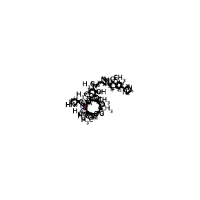 CC[C@H]1OC(=O)[C@H](C)C(=O)[C@H](C)[C@@H](O[C@@H]2O[C@H](C)C[C@H](N(C)CCc3cn([C@H](CF)[C@H](OC)c4ccc(-c5cnccn5)cc4)nn3)[C@H]2O)[C@@]2(C)C[C@@H](CO2)/C(=N\O[C@@H]2CCCNC2)[C@H](C)[C@@H](O)[C@]1(C)O